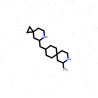 CC1CC2(CCN1)CCC(CC1CC3(CCN1)CC3)CC2